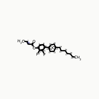 C/C=C/C(=O)Oc1ccc(C23CCC(CCCCCCC)(CC2)CC3)c(F)c1F